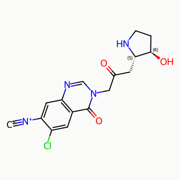 [C-]#[N+]c1cc2ncn(CC(=O)C[C@@H]3NCC[C@H]3O)c(=O)c2cc1Cl